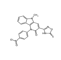 Cn1c2ccccc2c2c1cc(-c1noc(=S)[nH]1)c(=O)n2-c1ccc([N+](=O)[O-])cc1